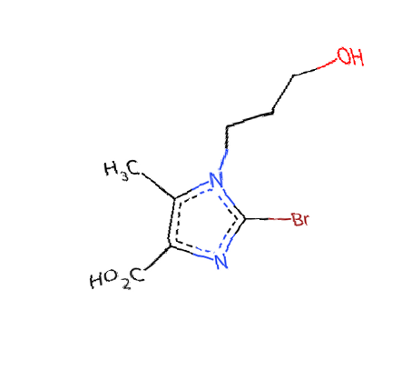 Cc1c(C(=O)O)nc(Br)n1CCCO